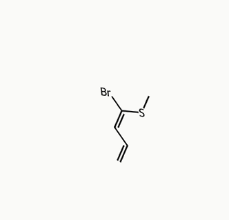 C=C/C=C(/Br)SC